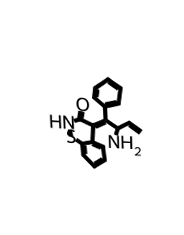 C=CC(N)C(=C1C(=O)NSc2ccccc21)c1ccccc1